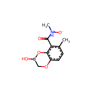 Cc1ccc2c(c1C(=O)[NH+](C)[O-])OB(O)CO2